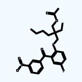 CCCCC(CC)(COC(C)=O)CSc1ccc(F)cc1C(=O)c1cccc([N+](=O)[O-])c1